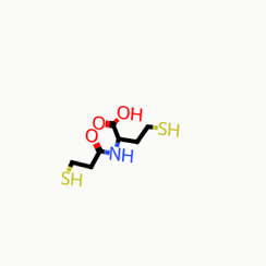 O=C(CCS)NC(CCS)C(=O)O